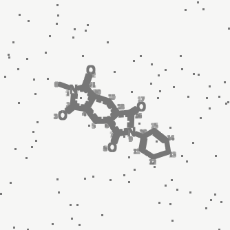 Cn1c(=O)c2cc3c(=O)n(C4=CCCC=C4)c(=O)c3cc2c1=O